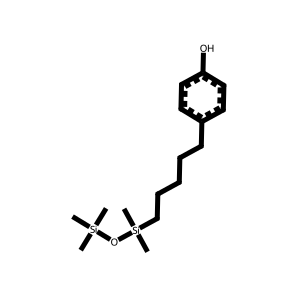 C[Si](C)(C)O[Si](C)(C)CCCCCc1ccc(O)cc1